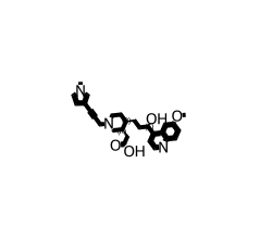 COc1ccc2nccc([C@@H](O)CC[C@@H]3CCN(CC#Cc4ccn(C)c4)C[C@@H]3CC(=O)O)c2c1